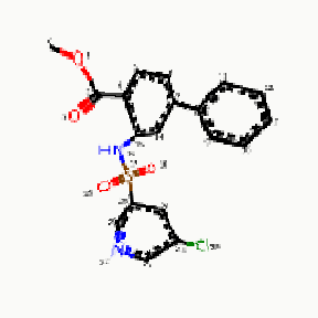 COC(=O)c1ccc(-c2ccccc2)cc1NS(=O)(=O)c1cncc(Cl)c1